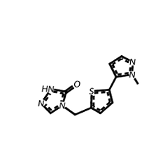 Cn1nccc1-c1ccc(Cn2cn[nH]c2=O)s1